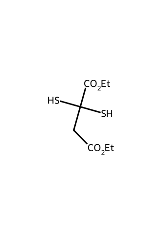 CCOC(=O)CC(S)(S)C(=O)OCC